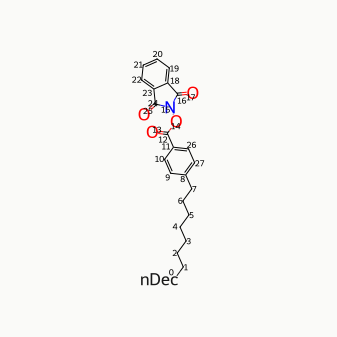 CCCCCCCCCCCCCCCCCc1ccc(C(=O)ON2C(=O)c3ccccc3C2=O)cc1